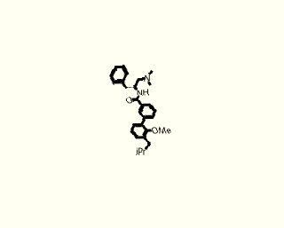 COc1c(CC(C)C)cccc1-c1cccc(C(=O)N[C@H](Cc2ccccc2)CN(C)C)c1